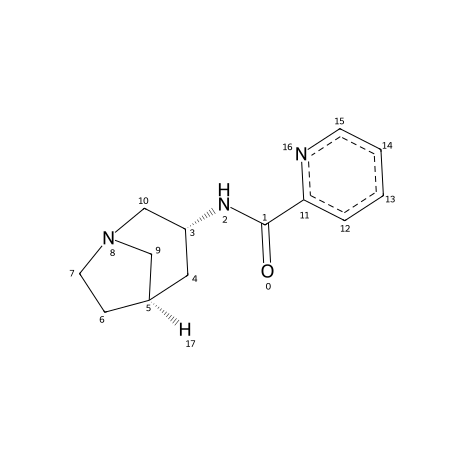 O=C(N[C@@H]1C[C@H]2CCN(C2)C1)c1ccccn1